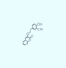 N#Cc1cc(CCOc2cc3ccccc3oc2=O)ccc1O